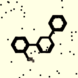 Cc1ccccc1C1=CC=CC(c2ccccc2)C1